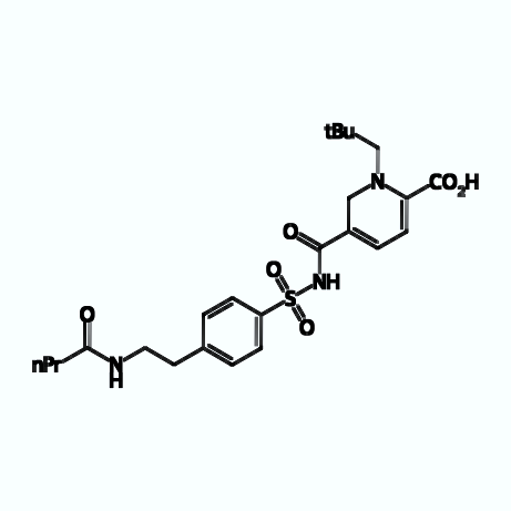 CCCC(=O)NCCc1ccc(S(=O)(=O)NC(=O)C2=CC=C(C(=O)O)N(CC(C)(C)C)C2)cc1